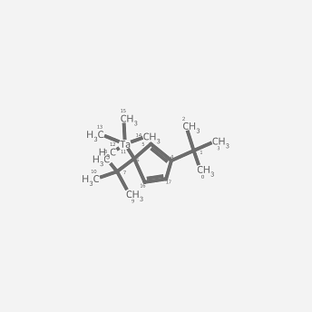 CC(C)(C)C1=C[C](C(C)(C)C)([Ta]([CH3])([CH3])([CH3])[CH3])C=C1